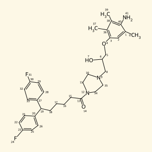 Cc1cc(OCC(O)CN2CCN(C(=O)CCCCC(c3ccc(F)cc3)c3ccc(F)cc3)CC2)c(C)c(C)c1N